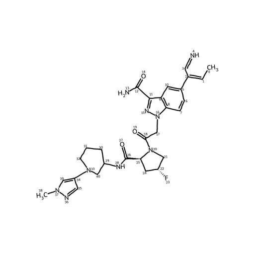 C/C=C(\C=N)c1ccc2c(c1)c(C(N)=O)nn2CC(=O)N1C[C@H](F)C[C@H]1C(=O)NC1CCCN(c2cnn(C)c2)C1